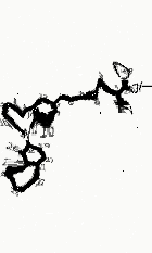 N#C\C(=C/C=C/C=C/c1ccc2c(c1)CCCN2C1CCC2CCCC2C1)C(=O)O